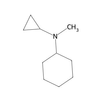 CN(C1CCCCC1)C1CC1